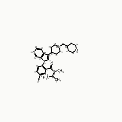 CC(C)N(C)C(=O)c1cc(F)ccc1-n1cc(C2CCN(CC3CCOCC3)CC2)c2ccncc21